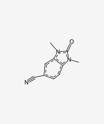 Cn1c(=O)n(C)c2cc(C#N)ccc21